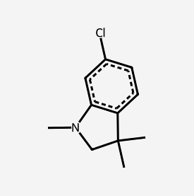 CN1CC(C)(C)c2ccc(Cl)cc21